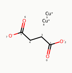 O=C([O-])CCC(=O)[O-].[Cu+].[Cu+]